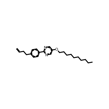 C=CCCc1ccc(-c2ncc(OCCCCCCCCCC)cn2)cc1